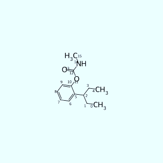 CCC(CC)c1ccccc1OC(=O)NC